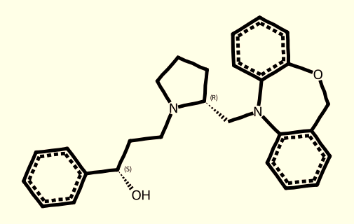 O[C@@H](CCN1CCC[C@@H]1CN1c2ccccc2COc2ccccc21)c1ccccc1